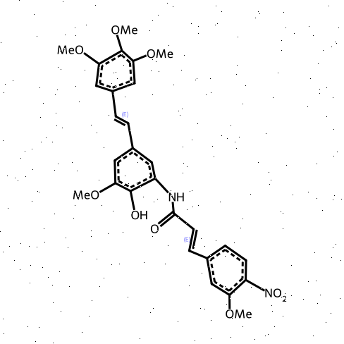 COc1cc(/C=C/C(=O)Nc2cc(/C=C/c3cc(OC)c(OC)c(OC)c3)cc(OC)c2O)ccc1[N+](=O)[O-]